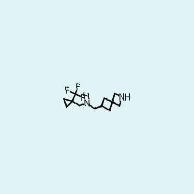 FC(F)(F)C1(CNCC2CC3(CNC3)C2)CC1